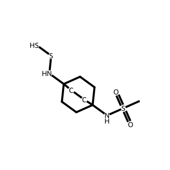 CS(=O)(=O)NC12CCC(NSS)(CC1)CC2